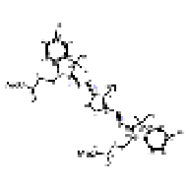 COC(C)CCN1/C(=C/C=C2\CCC(/C=C/C3=[N+](CCC(C)OC)c4ccc(I)cc4C3(C)C)=C2Cl)C(C)(C)c2cc(I)ccc21